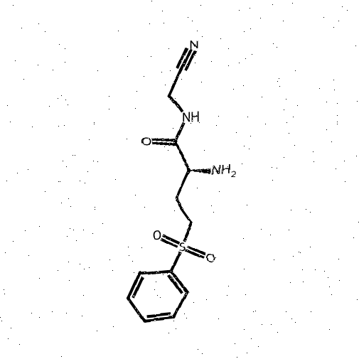 N#CCNC(=O)[C@@H](N)CCS(=O)(=O)c1ccccc1